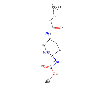 CCOC(=O)CCC(=O)NC1CC[C@@H](NC(=O)OC(C)(C)C)NC1